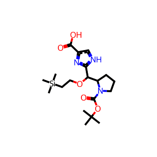 CC(C)(C)OC(=O)N1CCCC1C(OCC[Si](C)(C)C)c1nc(C(=O)O)c[nH]1